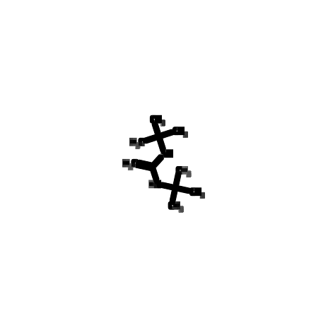 C=C(NC(C)(C)C)NC(C)(C)C